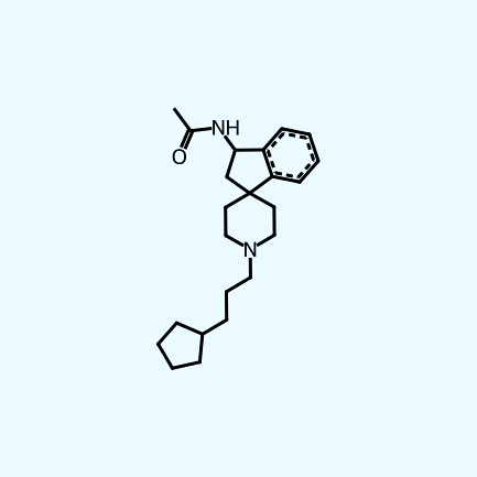 CC(=O)NC1CC2(CCN(CCCC3CCCC3)CC2)c2ccccc21